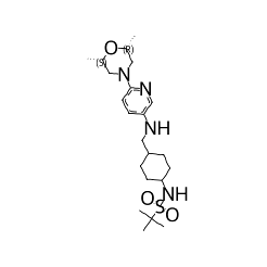 C[C@@H]1CN(c2ccc(NCC3CCC(NS(=O)(=O)C(C)(C)C)CC3)cn2)C[C@H](C)O1